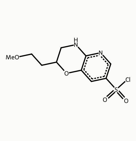 COCCC1CNc2ncc(S(=O)(=O)Cl)cc2O1